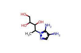 CC(C(O)C(O)CO)n1ncc(N)c1N